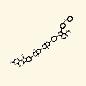 Nc1ncnc2c1c(-c1ccc(Oc3ccccc3)cc1)nn2C1CCN(C2C[C@@H]3CN(C4C[C@@H]5CN(c6ccc7c(c6)C(=O)N(C6CCC(=O)NC6=O)C7=O)C[C@@H]5C4)C[C@@H]3C2)CC1